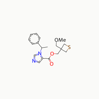 COCC1(COC(=O)c2cncn2C(C)c2ccccc2)CSC1